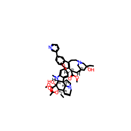 CC[C@]1(O)C[C@H]2CN(CCC3=C(Bc4ccc(-c5cccnc5)cc43)[C@@](C(=O)OC)(C3C=C4C(=CC3OC)N(C)[C@H]3[C@@](O)(C(=O)OC)[C@H](OC(C)=O)[C@]5(CC)C=CCN6CC[C@]43[C@@H]65)C2)C1